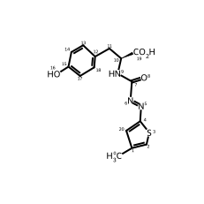 Cc1csc(N=NC(=O)N[C@@H](Cc2ccc(O)cc2)C(=O)O)c1